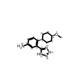 CO[C@H]1CC[C@@H](c2ccc(N)cc2-c2nnn[nH]2)CC1